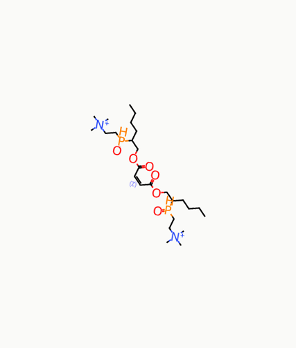 CCCCC(COC(=O)/C=C\C(=O)OCC(CCCC)[PH](=O)CC[N+](C)(C)C)[PH](=O)CC[N+](C)(C)C